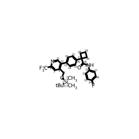 CC(C)(C)[Si](C)(C)OCc1cc(C(F)(F)F)ncc1-c1ccc(C2(C(=O)Nc3ccc(F)cc3)CCC2)cc1